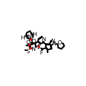 CSc1nc(N2C[C@H]3CC[C@@H](C2)N3C(=O)OC(C)(C)C)c2c(n1)sc1c(-c3c(C(F)F)c(C)cc4c3cnn4C3CCCCO3)nccc12